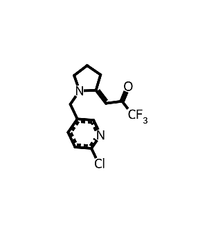 O=C(/C=C1\CCCN1Cc1ccc(Cl)nc1)C(F)(F)F